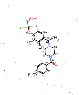 Cc1c(OC(F)(F)CO)ccc([C@@H](C)N2CCN(C(=O)c3ccc(C(F)(F)F)cc3)CC2)c1C